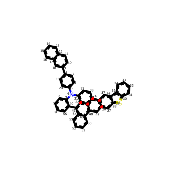 c1ccc(N(c2ccc(-c3ccc4ccccc4c3)cc2)c2ccc(-c3ccc4sc5ccccc5c4c3)cc2)c(-c2cc3ccccc3c3ccccc23)c1